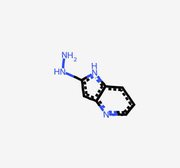 NNc1cc2ncccc2[nH]1